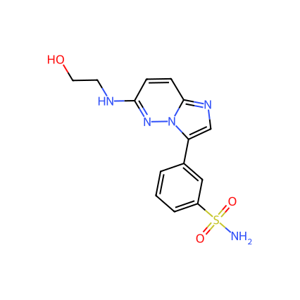 NS(=O)(=O)c1cccc(-c2cnc3ccc(NCCO)nn23)c1